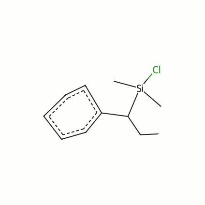 CCC(c1ccccc1)[Si](C)(C)Cl